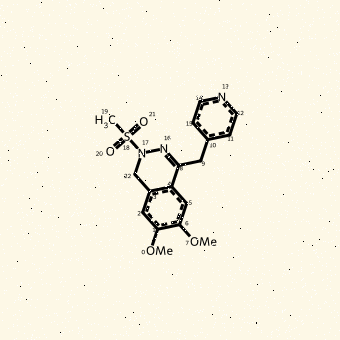 COc1cc2c(cc1OC)C(Cc1ccncc1)=NN(S(C)(=O)=O)C2